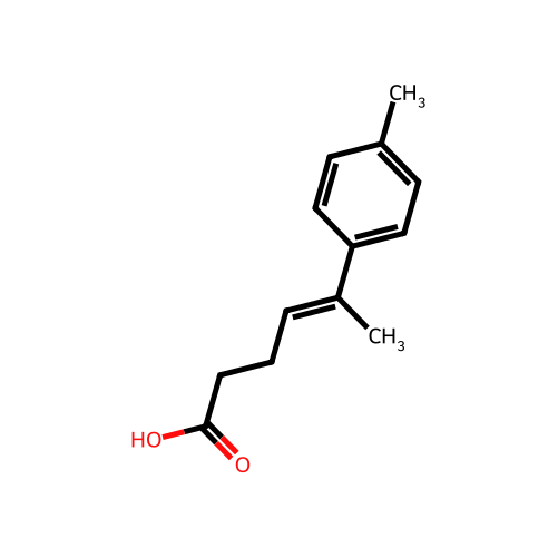 C/C(=C\CCC(=O)O)c1ccc(C)cc1